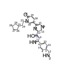 CNCc1ccc(C(=N)/C=C(\O)c2cncc(-c3ccc(=O)n(CCC4CCCC4)c3)n2)cc1